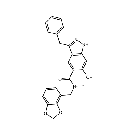 CN(Cc1cccc2c1OCO2)C(=O)c1cc2c(Cc3ccccc3)n[nH]c2cc1O